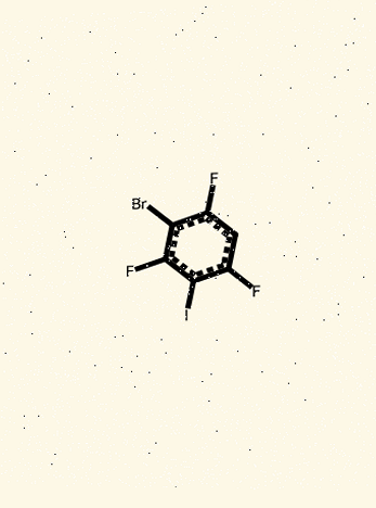 Fc1cc(F)c(I)c(F)c1Br